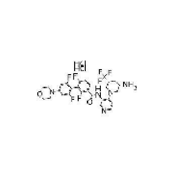 Cl.Cl.N[C@H]1C[C@@H](C(F)(F)F)CN(c2ccncc2NC(=O)c2ccc(F)c(-c3c(F)cc(N4CCOCC4)cc3F)c2F)C1